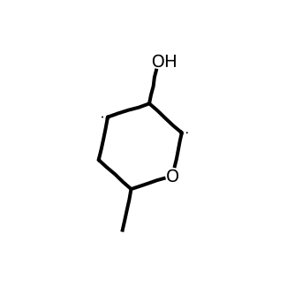 CC1C[CH]C(O)[CH]O1